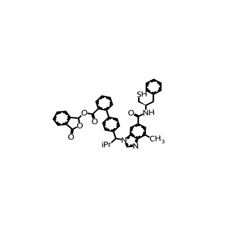 Cc1cc(C(=O)N[C@@H](CS)Cc2ccccc2)cc2c1ncn2C(c1ccc(-c2ccccc2C(=O)OC2OC(=O)c3ccccc32)cc1)C(C)C